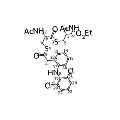 CCOC(=O)C(CSC(=O)C(CSC(=O)Cc1ccccc1Nc1c(Cl)cccc1Cl)NC(C)=O)NC(C)=O